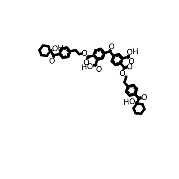 O=C(c1ccc(C(=O)OCCc2ccc(C(=O)C3(O)CCCCC3)cc2)c(C(=O)O)c1)c1ccc(C(=O)OCCc2ccc(C(=O)C3(O)CCCCC3)cc2)c(C(=O)O)c1